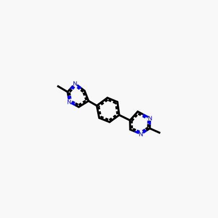 Cc1ncc(-c2ccc(-c3cnc(C)nc3)cc2)cn1